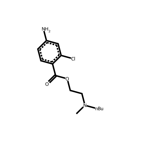 CCCCN(C)CCOC(=O)c1ccc(N)cc1Cl